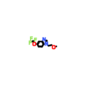 COCCn1cnc2cc(OC(F)(F)F)ccc21